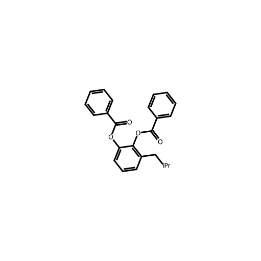 CC(C)Cc1cccc(OC(=O)c2ccccc2)c1OC(=O)c1ccccc1